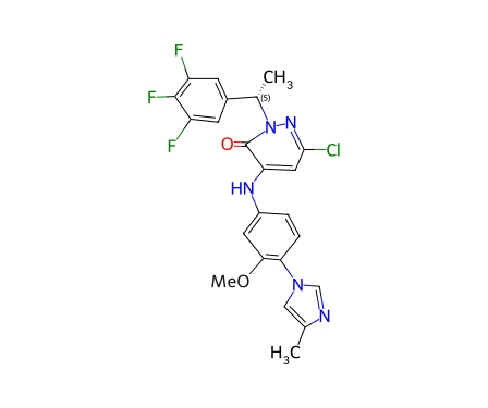 COc1cc(Nc2cc(Cl)nn([C@@H](C)c3cc(F)c(F)c(F)c3)c2=O)ccc1-n1cnc(C)c1